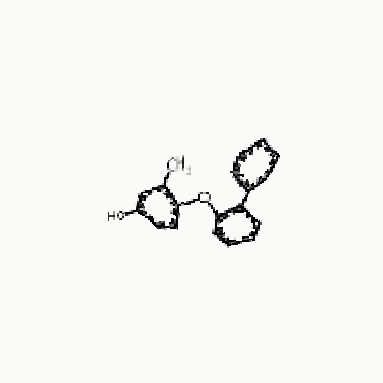 Cc1cc(O)ccc1Oc1ccccc1-c1ccccc1